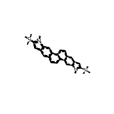 Cn1c([Si](C)(C)C)cc2cc3ccc4c5cc6c(cc([Si](C)(C)C)n6C)cc5ccc4c3cc21